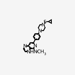 CNc1nc(-c2ccc(N3CCN(SC4CC4)CC3)cc2)cc2nccnc12